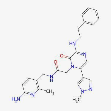 Cc1nc(N)ccc1CNC(=O)Cn1c(-c2cnn(C)c2)cnc(NCCc2ccccc2)c1=O